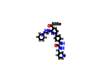 CNC(=O)c1ccc(-c2ccc(NC(=O)NCc3cccnc3)cc2)nc1NCCN1CCCCC1